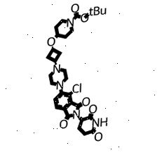 CC(C)(C)OC(=O)N1CCC(O[C@H]2C[C@H](N3CCN(c4ccc5c(c4Cl)C(=O)N(C4CCC(=O)NC4=O)C5=O)CC3)C2)CC1